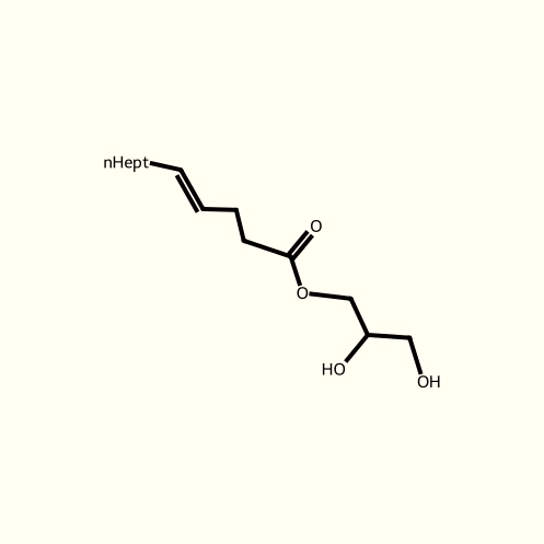 CCCCCCC/C=C/CCC(=O)OCC(O)CO